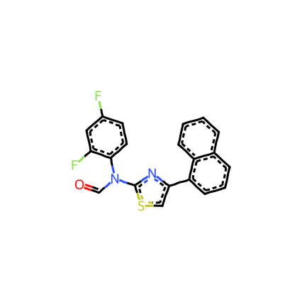 O=CN(c1nc(-c2cccc3ccccc23)cs1)c1ccc(F)cc1F